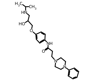 CC(C)NCC(O)COc1ccc(NC(=O)CCN2CCN(c3ccccc3)CC2)cc1